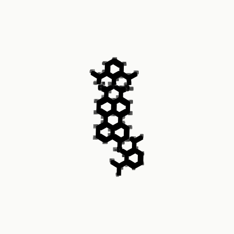 CC(C)c1cccc(C(C)C)c1Oc1ccc2c3ccc4c5c(ccc(c6cccc1c62)c53)C(=O)N(c1c(C(C)C)cccc1C(C)C)C4=O